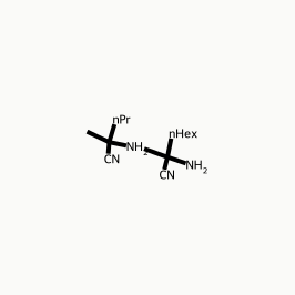 CCCC(C)(N)C#N.CCCCCCC(C)(N)C#N